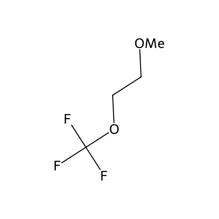 COCCOC(F)(F)F